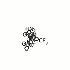 O=C1c2ccccc2C(=O)N1CCn1nnc(N(Cc2cc(C(F)(F)F)cc(C(F)(F)F)c2)C2CCCNc3cc4c(cc32)COC4)n1